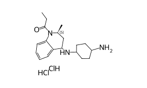 CCC(=O)N1c2ccccc2C(NC2CCC(N)CC2)C[C@@H]1C.Cl.Cl